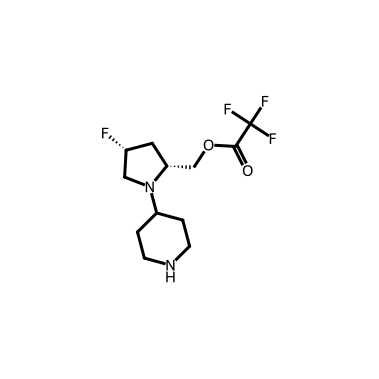 O=C(OC[C@H]1C[C@@H](F)CN1C1CCNCC1)C(F)(F)F